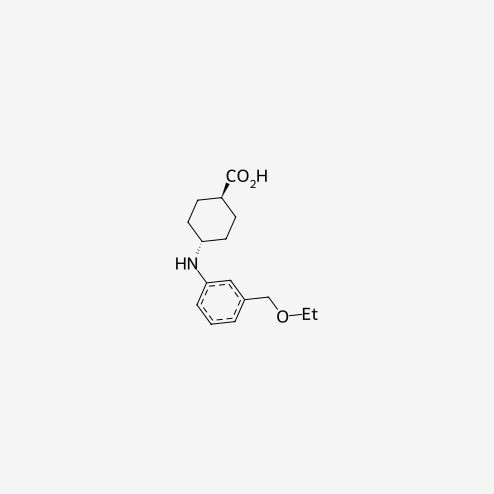 CCOCc1cccc(N[C@H]2CC[C@H](C(=O)O)CC2)c1